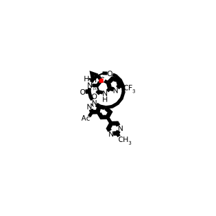 CC(=O)c1nn2c3c(cc(-c4cnc(C)nc4)cc13)CCCCCCCOC[C@@]13C[C@@H](C(=O)Nc4nc(C(F)(F)F)ccc4C)N(C(=O)C2)[C@@H]1C3